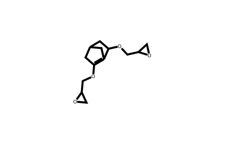 C1C(OCC2CO2)=C2CC1CC2OCC1CO1